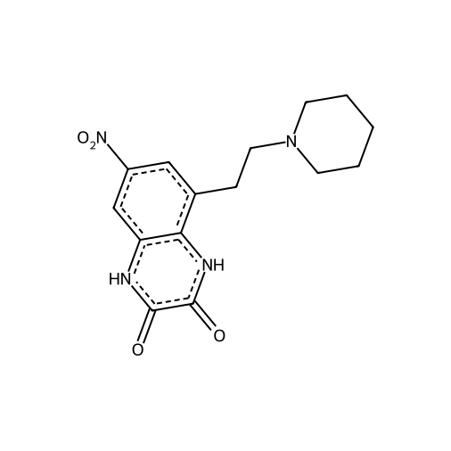 O=c1[nH]c2cc([N+](=O)[O-])cc(CCN3CCCCC3)c2[nH]c1=O